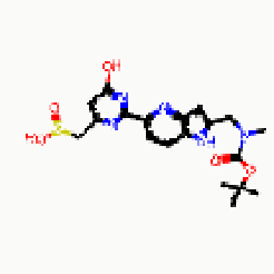 CN(Cc1cc2nc(-c3nc(O)cc(CS(=O)O)n3)ccc2[nH]1)C(=O)OC(C)(C)C